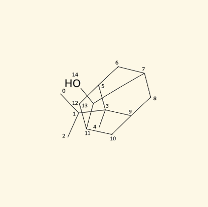 CC(C)C1(C)C2CC3CC1CC(C2)C3O